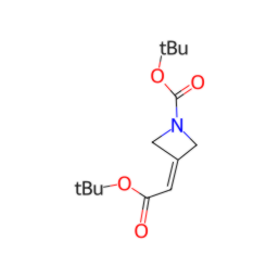 CC(C)(C)OC(=O)C=C1CN(C(=O)OC(C)(C)C)C1